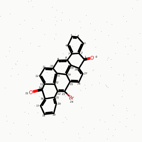 O=c1c2ccccc2c2cc3ccc4c(=O)c5ccccc5c5c(Br)c6ccc1c2c6c3c45